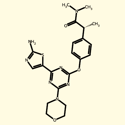 C[C@@H](C(=O)N(C)C)c1ccc(Oc2nc(-c3cnc(N)s3)nc(N3CCOCC3)n2)cc1